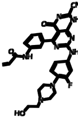 C=CC(=O)Nc1cccc(-c2nc(Nc3ccc(N4CCN(CCO)CC4)c(F)c3)nc3[nH]c(C#N)nc(=O)c23)c1